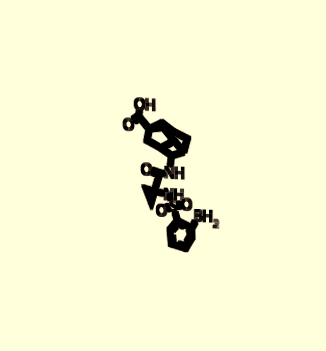 Bc1ccccc1S(=O)(=O)NC1(C(=O)NC2C3CC4CC2CC(C(=O)O)(C4)C3)CC1